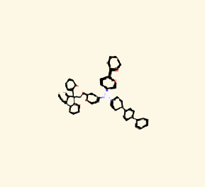 c1ccc(-c2ccc(-c3ccc(N(c4ccc5c(c4)oc4ccccc45)c4ccc5oc6c(c5c4)Oc4ccccc4C64c5ccccc5-c5ccccc54)cc3)cc2)cc1